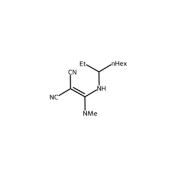 CCCCCCC(CC)NC(NC)=C(C#N)C#N